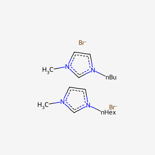 CCCCCCn1cc[n+](C)c1.CCCCn1cc[n+](C)c1.[Br-].[Br-]